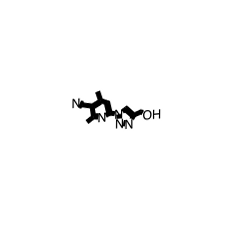 Cc1cc(-n2cc(CO)nn2)nc(C)c1C#N